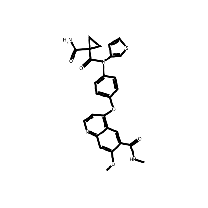 CNC(=O)c1cc2c(Oc3ccc(N(C(=O)C4(C(N)=O)CC4)c4ccsc4)cc3)ccnc2cc1OC